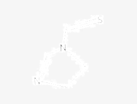 S=CN1C=NCC1